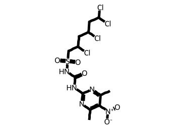 Cc1nc(NC(=O)NS(=O)(=O)CC(Cl)CC(Cl)CC(Cl)Cl)nc(C)c1[N+](=O)[O-]